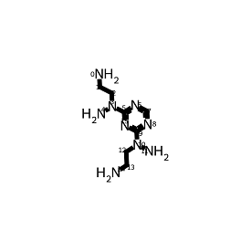 NCCN(N)c1ncnc(N(N)CCN)n1